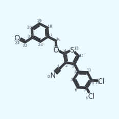 N#Cc1c(-c2ccc(Cl)c(Cl)c2)csc1OCc1cccc(C=O)c1